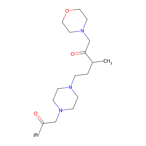 CC(C)C(=O)CN1CCN(CCC(C)C(=O)CN2CCOCC2)CC1